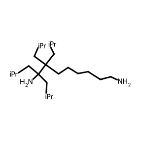 CC(C)CC(N)(CC(C)C)C(CCCCCCN)(CC(C)C)CC(C)C